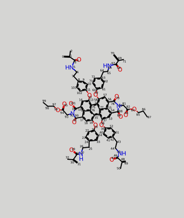 C=C(C)C(=O)NCCc1ccc(Oc2cc3c4c(cc(Oc5ccc(CCNC(=O)C(=C)C)cc5)c5c6c(Oc7ccc(CCNC(=O)C(=C)C)cc7)cc7c8c(cc(Oc9ccc(CCNC(=O)C(=C)C)cc9)c(c2c45)c86)C(=O)N(CC(=O)OCCC)C7=O)C(=O)N(CC(=O)OCCC)C3=O)cc1